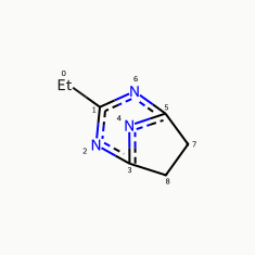 [CH2]Cc1nc2nc(n1)CC2